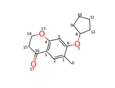 Cc1cc2c(cc1OC1CCCC1)OCCC2=O